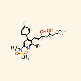 CC(C)c1nc(N(C)S(C)(=O)=O)cc(-c2ccc(F)cc2)c1C=C[C@@H](O)C[C@@H](O)CC(=O)O